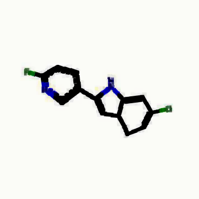 Fc1ccc(C2=CC3CC=C(Cl)C=C3N2)cn1